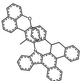 Cc1c(-n2c3ccccc3c3c4ccccc4c4c(c32)C(c2ccccc2)Cc2ccccc2-4)ncc2c1-c1cccc3cccc(c13)O2